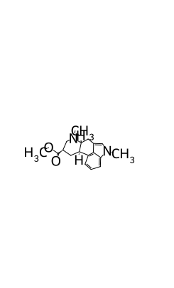 COC(=O)[C@@H]1C[C@@H]2c3cccc4c3c(cn4C)C[C@H]2N(C)C1